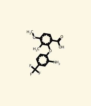 COc1ccc(C(=O)O)c(Oc2ccc(C(F)(F)F)cc2N)c1C